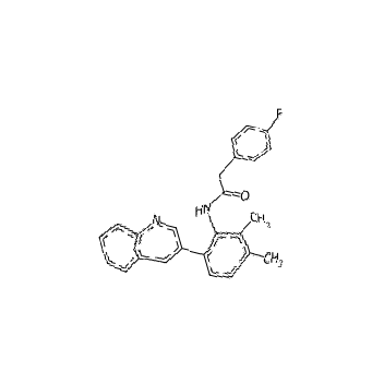 Cc1ccc(-c2cnc3ccccc3c2)c(NC(=O)Cc2ccc(F)cc2)c1C